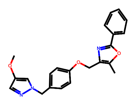 COc1cnn(Cc2ccc(OCc3nc(-c4ccccc4)oc3C)cc2)c1